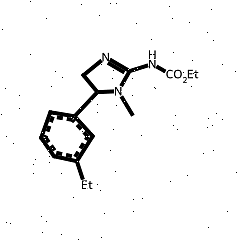 CCOC(=O)NC1=NCC(c2cccc(CC)c2)N1C